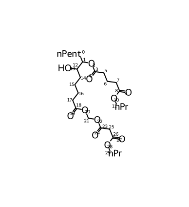 CCCCCC(OC(=O)CCCC(=O)OCCC)C(O)CCCCC(=O)OCOC(=O)CC(=O)OCCC